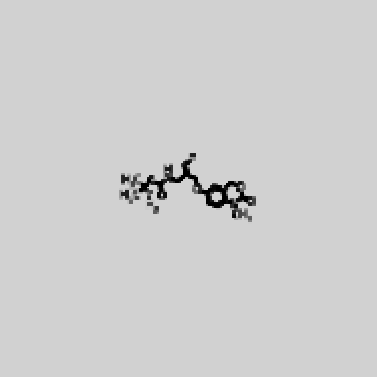 CN1C(=O)OCc2cc(OC/C(=C\F)CNC(=O)OC(C)(C)C)ccc21